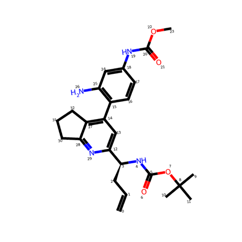 C=CC[C@H](NC(=O)OC(C)(C)C)c1cc(-c2ccc(NC(=O)OC)cc2N)c2c(n1)CCC2